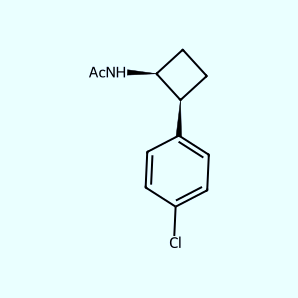 CC(=O)N[C@H]1CC[C@H]1c1ccc(Cl)cc1